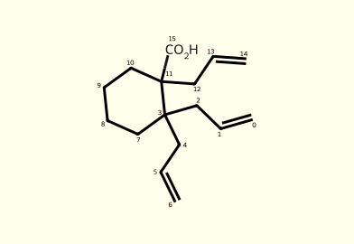 C=CCC1(CC=C)CCCCC1(CC=C)C(=O)O